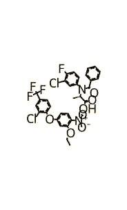 CCOc1cc(Oc2ccc(C(F)(F)F)cc2Cl)ccc1[N+](=O)[O-].C[C@H](C(=O)O)N(C(=O)c1ccccc1)c1ccc(F)c(Cl)c1